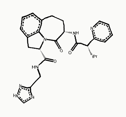 CC(C)[C@H](C(=O)N[C@H]1CCc2cccc3c2N(C1=O)[C@H](C(=O)NCc1nc[nH]n1)C3)c1ccccn1